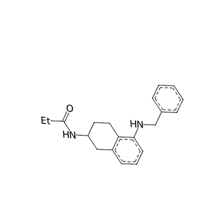 CCC(=O)NC1CCc2c(cccc2NCc2ccccc2)C1